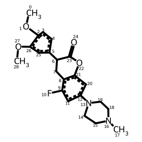 COc1ccc(C2Cc3c(F)cc(N4CCN(C)CC4)cc3OC2=O)cc1OC